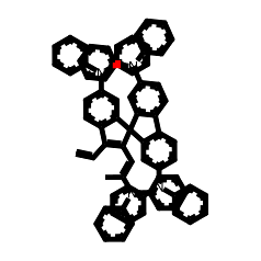 C=CC1=C(/C=C(\C)N(c2ccccc2)c2ccccc2)C2(c3cc(N(c4ccccc4)c4ccccc4)ccc31)c1cc(N(c3ccccc3)c3ccccc3)ccc1-c1ccc(N(c3ccccc3)c3ccccc3)cc12